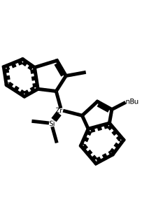 CCCCC1=C[CH]([Zr]([CH]2C(C)=Cc3ccccc32)=[Si](C)C)c2ccccc21